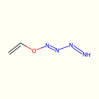 C=CON=NN=N